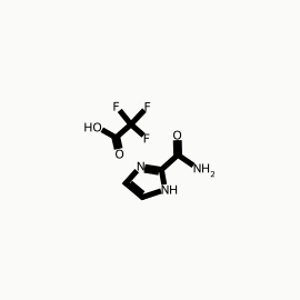 NC(=O)c1ncc[nH]1.O=C(O)C(F)(F)F